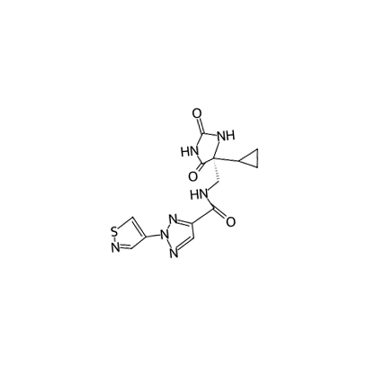 O=C1NC(=O)[C@](CNC(=O)c2cnn(-c3cnsc3)n2)(C2CC2)N1